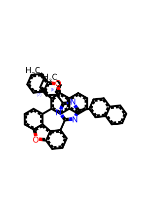 C=C/C=C\C(=C/C)c1nc(-c2ccc3ccccc3c2)nc(-c2cccc3oc4cccc(-c5cc6ccccc6c6oc7ccccc7c56)c4c23)n1